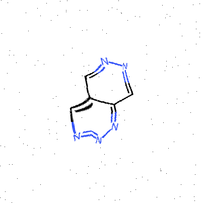 [c]1nncc2nnncc12